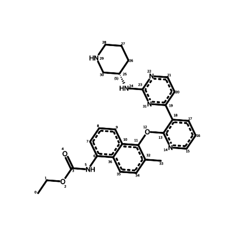 CCOC(=O)Nc1cccc2c(Oc3ncccc3-c3ccnc(N[C@H]4CCCNC4)n3)c(C)ccc12